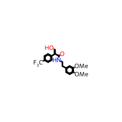 COc1ccc(CCNC(=O)C(=CO)c2ccc(C(F)(F)F)cc2)cc1OC